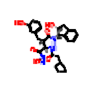 O=C(CC1CCCC1)N[C@H](C(=O)NO)[C@@H](Cc1cccc(O)c1)C(=O)N[C@H]1c2ccccc2C[C@H]1O